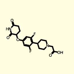 O=C(O)CN1CCC(c2c(F)cc(OC3CCC(=O)NC3=O)cc2F)CC1